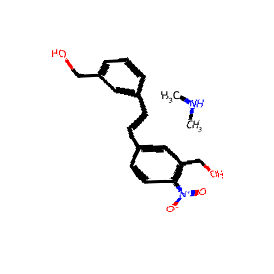 CNC.O=[N+]([O-])c1ccc(C=Cc2cccc(CO)c2)cc1CO